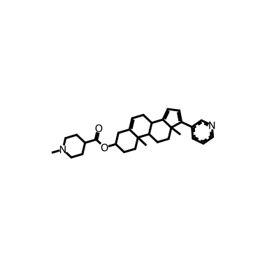 CN1CCC(C(=O)OC2CCC3(C)C(=CCC4C5=CC=C(c6cccnc6)C5(C)CCC43)C2)CC1